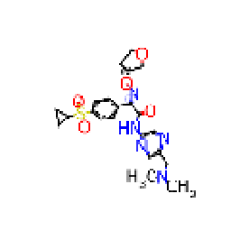 CN(C)Cc1cnc(NC(=O)/C(=N/O[C@@H]2CCOC2)c2ccc(S(=O)(=O)C3CC3)cc2)cn1